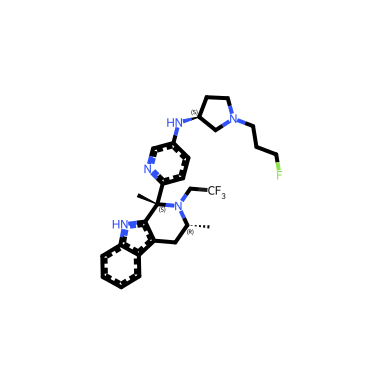 C[C@@H]1Cc2c([nH]c3ccccc23)[C@](C)(c2ccc(N[C@H]3CCN(CCCF)C3)cn2)N1CC(F)(F)F